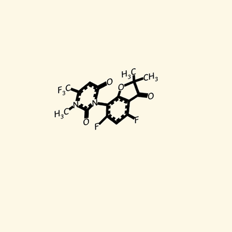 Cn1c(C(F)(F)F)cc(=O)n(-c2c(F)cc(F)c3c2OC(C)(C)C3=O)c1=O